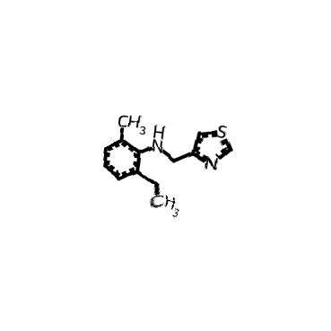 CCc1cccc(C)c1NCc1cscn1